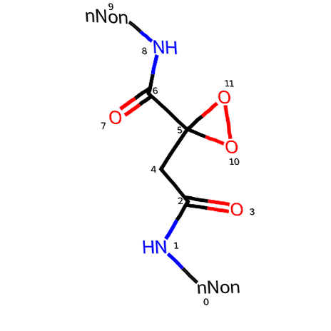 CCCCCCCCCNC(=O)CC1(C(=O)NCCCCCCCCC)OO1